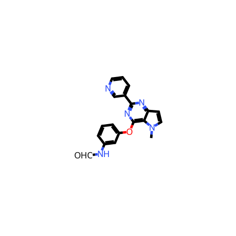 Cn1ccc2nc(-c3cccnc3)nc(Oc3cccc(NC=O)c3)c21